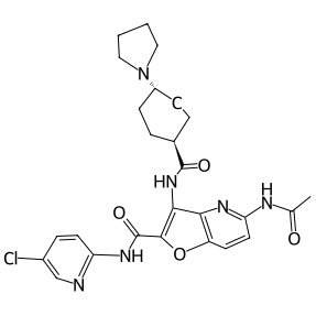 CC(=O)Nc1ccc2oc(C(=O)Nc3ccc(Cl)cn3)c(NC(=O)[C@H]3CC[C@H](N4CCCC4)CC3)c2n1